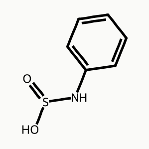 O=S(O)Nc1ccccc1